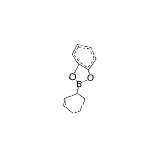 C1=CC(B2Oc3ccccc3O2)CCC1